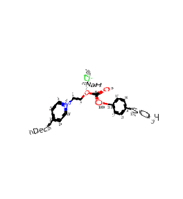 CCCCCCCCCCc1cc[n+](CCOC(=O)Oc2ccc(S(=O)(=O)O)cc2)cc1.[Cl-].[NaH]